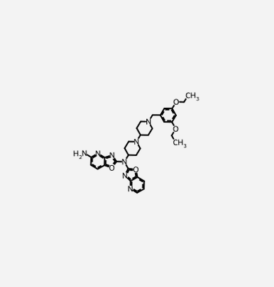 CCOc1cc(CN2CCC(N3CCC(N(c4nc5ncccc5o4)c4nc5nc(N)ccc5o4)CC3)CC2)cc(OCC)c1